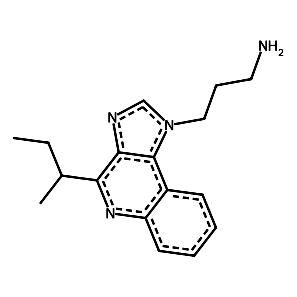 CCC(C)c1nc2ccccc2c2c1ncn2CCCN